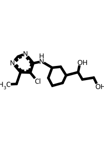 CCc1ncnc(NC2CCCC(C(O)CCO)C2)c1Cl